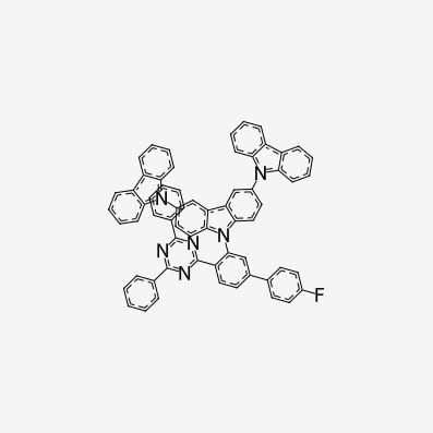 Fc1ccc(-c2ccc(-c3nc(-c4ccccc4)nc(-c4ccccc4)n3)c(-n3c4ccc(-n5c6ccccc6c6ccccc65)cc4c4cc(-n5c6ccccc6c6ccccc65)ccc43)c2)cc1